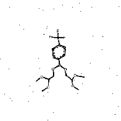 COC(COB(OCC(OC)OC)c1ccc(C(F)(F)F)cc1)OC